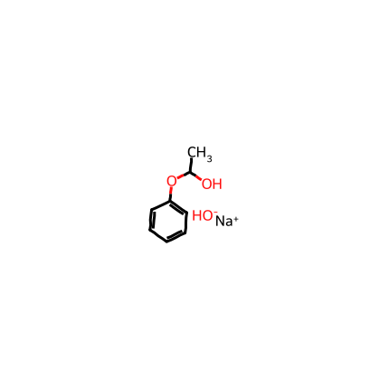 CC(O)Oc1ccccc1.[Na+].[OH-]